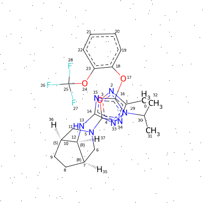 Cc1noc(N2C[C@H]3CC[C@@H](C2)[C@H]3Nc2nc(Oc3ccccc3OC(F)(F)F)n(C(C)C)n2)n1